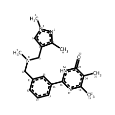 Cc1nn(C)cc1CN(C)Cc1cccc(-c2nc(C(F)(F)F)c(C)c(=O)[nH]2)c1